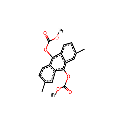 Cc1ccc2c(OC(=O)OC(C)C)c3ccc(C)cc3c(OC(=O)OC(C)C)c2c1